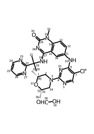 C[C@@H]1CN(c2ncc(Cl)c(Nc3ccc4c(c3)c(NC(C)(C)c3ncccn3)nc(=O)n4C)n2)C[C@H](C)O1.O=CO